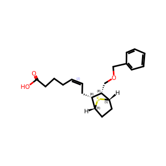 O=C(O)CCC/C=C\C[C@@H]1[C@H](COCc2ccccc2)[C@@H]2CC[C@H]1S2